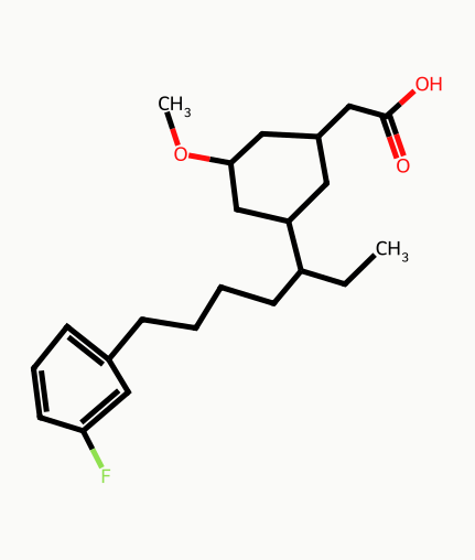 CCC(CCCCc1cccc(F)c1)C1CC(CC(=O)O)CC(OC)C1